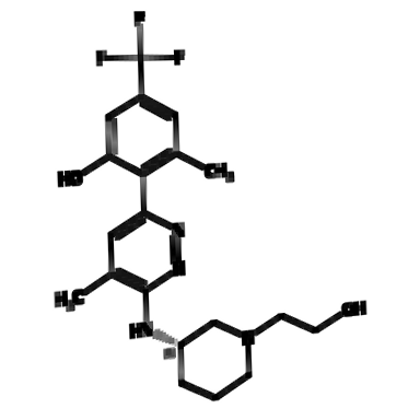 Cc1cc(-c2c(C)cc(C(F)(F)F)cc2O)nnc1N[C@H]1CCCN(CCO)C1